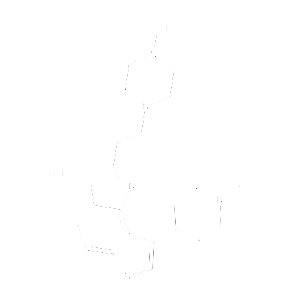 CN1CCC(c2c[nH]c3ccc4oc(CCN5CCN(C)CC5)nc4c23)CC1.Cl